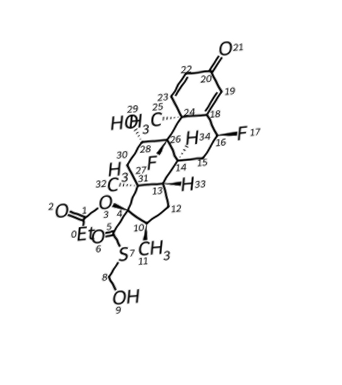 CCC(=O)O[C@]1(C(=O)SCO)[C@H](C)C[C@H]2[C@@H]3C[C@H](F)C4=CC(=O)C=C[C@]4(C)[C@@]3(F)[C@@H](O)C[C@@]21C